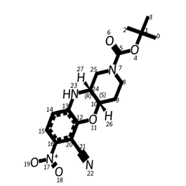 CC(C)(C)OC(=O)N1CC[C@@H]2Oc3c(ccc([N+](=O)[O-])c3C#N)N[C@@H]2C1